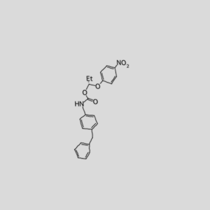 [CH2]C[C@@H](OC(=O)Nc1ccc(Cc2ccccc2)cc1)Oc1ccc([N+](=O)[O-])cc1